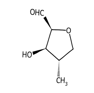 C[C@H]1CO[C@H](C=O)[C@@H]1O